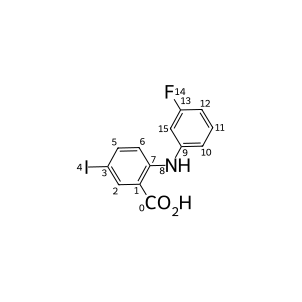 O=C(O)c1cc(I)ccc1Nc1cccc(F)c1